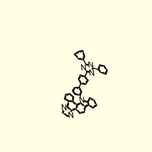 c1ccc(-c2nc(-c3ccccc3)nc(-c3ccc(-c4cccc(-n5c6ccccc6c6ccc7c8nccnc8c8ccccc8c7c65)c4)cc3)n2)cc1